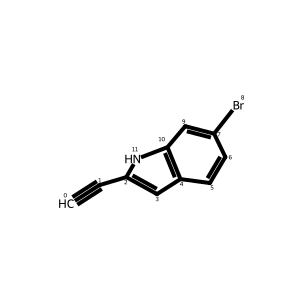 C#Cc1cc2ccc(Br)cc2[nH]1